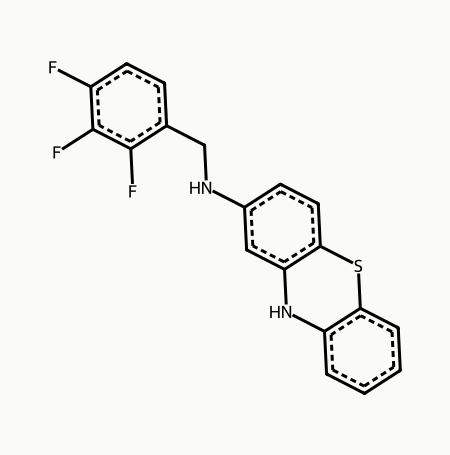 Fc1ccc(CNc2ccc3c(c2)Nc2ccccc2S3)c(F)c1F